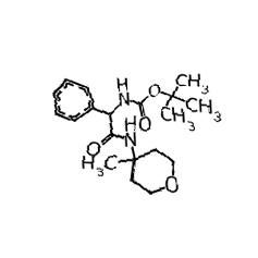 CC1(NC(=O)C(NC(=O)OC(C)(C)C)c2ccccc2)CCOCC1